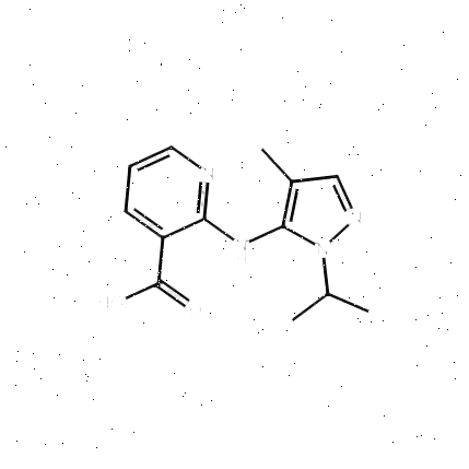 Cc1cnn(C(C)C)c1Nc1ncccc1C(=O)O